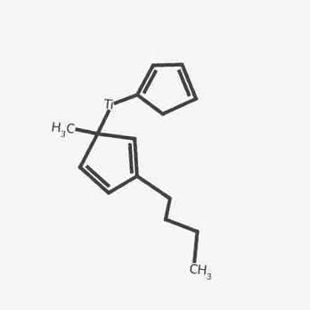 CCCCC1=C[C](C)([Ti][C]2=CC=CC2)C=C1